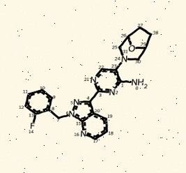 Nc1nc(-c2nn(Cc3ccccc3F)c3ncccc23)ncc1N1CC2CCC(C1)O2